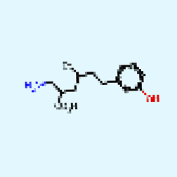 CCC(CCc1cccc(O)c1)CC(CN)C(=O)O